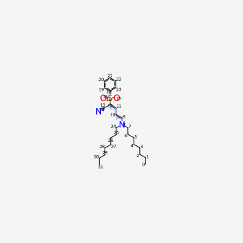 CCCCCCCCN(/C=C/C=C(\C#N)S(=O)(=O)c1ccccc1)CCCCCCCC